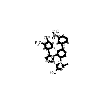 Cc1nc(C(F)(F)F)cn1-c1ccc(-c2cccc(S(C)(=O)=O)c2)cc1-n1nncc1-c1ccc(Cl)c(C(F)(F)F)c1